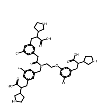 O=C(O)C(Cc1cc(Cl)cc(CC(=S)N(CCOc2cc(Cl)cc(CC(C(=O)O)C3CCNC3)c2)Cc2cc(Cl)cc(CC(C(=O)O)C3CCNC3)c2)c1)C1CCNC1